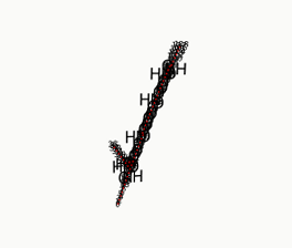 CCCCCCCCCCCCCC(=O)NCCCC[C@@H](NC(=O)CCCCCCCCCCCCC)C(=O)NCCCOCCOCCOCCCNC(=O)CCOCCOCCOCCOCCOCCC(=O)NCCCOCCOCCOCCCNC(=O)CNC(=O)CCCCCCCCCCCCC